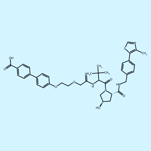 Cc1ncsc1-c1ccc(CNC(=O)[C@@H]2C[C@@H](O)CN2C(=O)C(NC(=O)COCCOc2ccc(-c3ccc(C(=O)O)cc3)cc2)C(C)(C)C)cc1